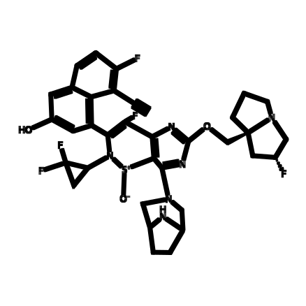 C#Cc1c(F)ccc2cc(O)cc(C3=C(F)c4nc(OC[C@@]56CCCN5C[C@H](F)C6)nc(N5CC6CCC(C5)N6)c4[S+]([O-])N3C3CC3(F)F)c12